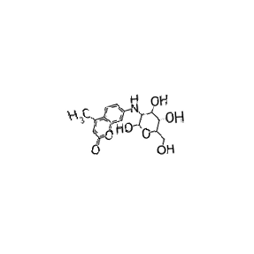 Cc1cc(=O)oc2cc(N[C@@H]3C(O)OC(CO)[C@@H](O)C3O)ccc12